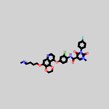 C/N=C/CCCOc1cc2nccc(Oc3ccc(NC(=O)c4cn(C)c(=O)n(-c5ccc(F)cc5)c4=O)c(Cl)c3)c2c2c1OCCO2